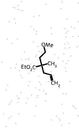 C=CCC(C)(CCOC)C(=O)OCC